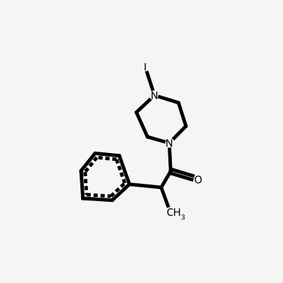 CC(C(=O)N1CCN(I)CC1)c1ccccc1